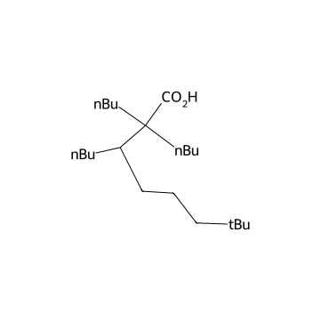 CCCCC(CCCC(C)(C)C)C(CCCC)(CCCC)C(=O)O